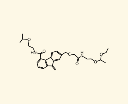 C=C1c2cc(CCCC(=O)NCCOC(C)OCC)ccc2-c2c1cccc2C(=O)NCCOC(C)C